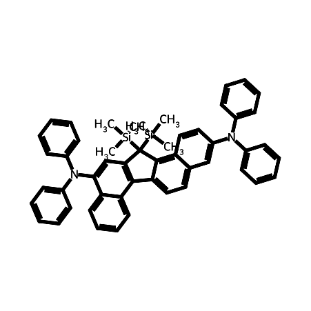 C[Si](C)(C)C1([Si](C)(C)C)c2cc(N(c3ccccc3)c3ccccc3)c3ccccc3c2-c2ccc3cc(N(c4ccccc4)c4ccccc4)ccc3c21